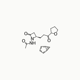 CC(=O)NN1C(=O)C[C@H]1CCC(=O)C1CCCO1.c1cc2cc-2c1